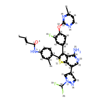 C/C=C/C(=O)Nc1ccc(-c2sc3c(-c4cnn(C(F)F)c4)cnc(N)c3c2-c2ccc(Oc3nccc(C)n3)c(F)c2)c(C)c1